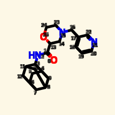 O=C(NC1C2CC3CC(C2)CC1C3)C1CN(Cc2cccnc2)CCO1